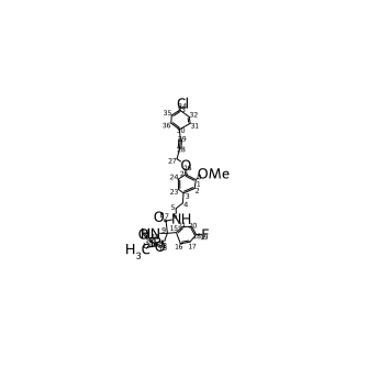 COc1cc(CCNC(=O)C(NS(C)(=O)=O)(c2ccc(F)cc2)C(C)C)ccc1OCC#Cc1ccc(Cl)cc1